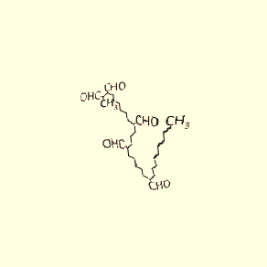 CC=CC=CC=CCCCC(C=O)CCC=CCC(C=O)CCCC(C=O)CCCCCCC(C=O)C(C)C=O